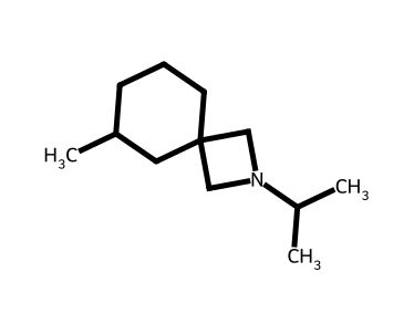 CC1CCCC2(C1)CN(C(C)C)C2